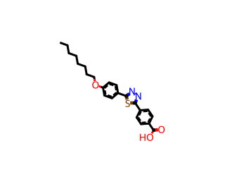 CCCCCCCCOc1ccc(-c2nnc(-c3ccc(C(=O)O)cc3)s2)cc1